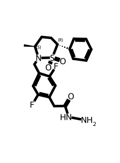 C[C@H]1CC[C@H](c2ccccc2)S(=O)(=O)N1Cc1cc(F)c(CC(=O)NN)cc1F